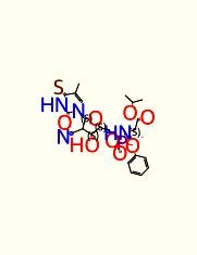 Cc1cn([C@H]2O[C@@H](COP(=O)(N[C@@H](C)C(=O)OC(C)C)Oc3ccccc3)[C@@H](O)C2C#N)c(=O)[nH]c1=S